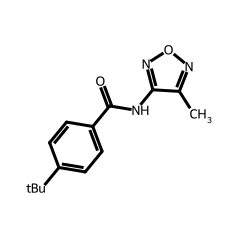 Cc1nonc1NC(=O)c1ccc(C(C)(C)C)cc1